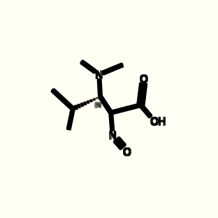 CC(C)[C@@H](C(N=O)C(=O)O)N(C)C